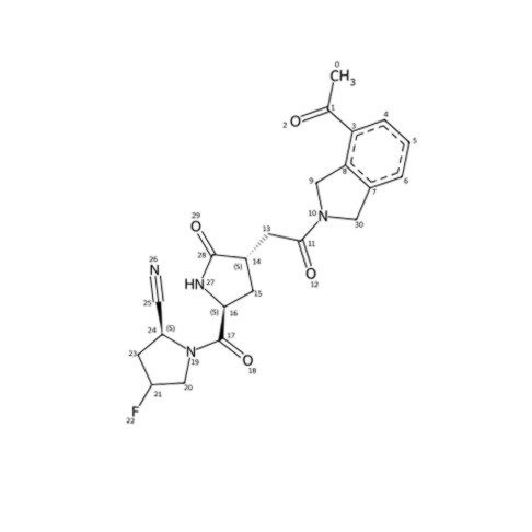 CC(=O)c1cccc2c1CN(C(=O)C[C@@H]1C[C@@H](C(=O)N3CC(F)C[C@H]3C#N)NC1=O)C2